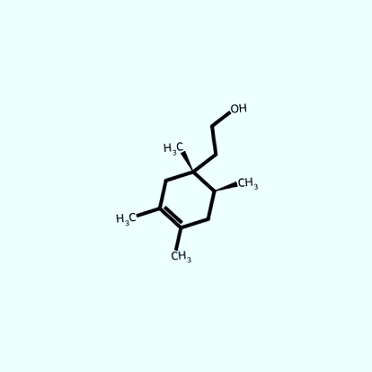 CC1=C(C)C[C@](C)(CCO)[C@@H](C)C1